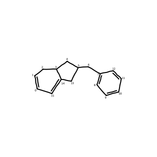 C1=CCC2CC(Cc3ccccc3)CC2=C1